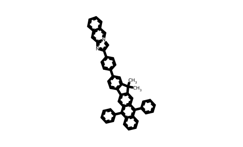 CC1(C)c2cc(-c3ccc(-c4cn5cc6ccccc6cc5n4)cc3)ccc2-c2cc3c(-c4ccccc4)c4ccccc4c(-c4ccccc4)c3cc21